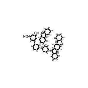 N#Cc1cc(C#N)cc(-c2cccc(-c3ccc(-n4c5ccccc5c5cc6sc7ccccc7c6cc54)cc3-c3ccc4sc5ccccc5c4c3)c2)c1